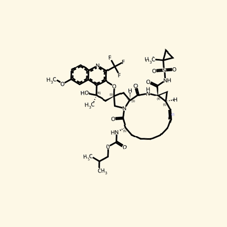 COc1ccc2nc(C(F)(F)F)c3c(c2c1)[C@](C)(O)C[C@]1(C[C@H]2C(=O)N[C@]4(C(=O)NS(=O)(=O)C5(C)CC5)C[C@H]4/C=C\CCCCC[C@H](NC(=O)OCC(C)C)C(=O)N2C1)O3